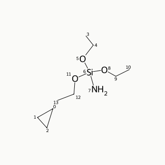 C1CC1.CCO[Si](N)(OCC)OCC